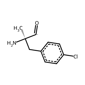 C[C@](N)([C]=O)Cc1ccc(Cl)cc1